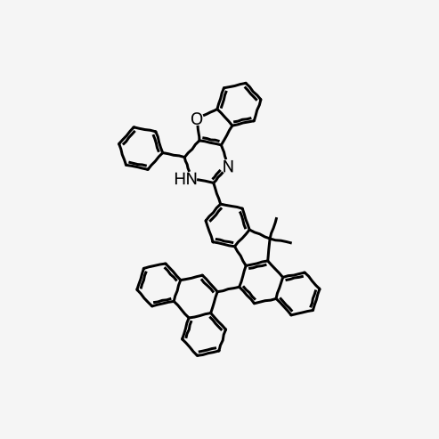 CC1(C)c2cc(C3=Nc4c(oc5ccccc45)C(c4ccccc4)N3)ccc2-c2c(-c3cc4ccccc4c4ccccc34)cc3ccccc3c21